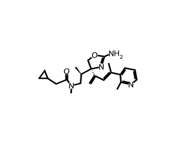 C=C(/C=C(\C)c1cccnc1C)[C@]1([C@H](C)CN(C)C(=O)CC2CC2)COC(N)=N1